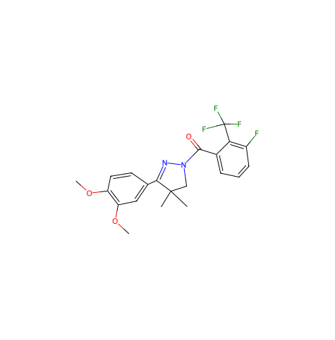 COc1ccc(C2=NN(C(=O)c3cccc(F)c3C(F)(F)F)CC2(C)C)cc1OC